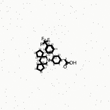 O=C(O)C[C@@H]1CC[C@@H](N2CC3(CCCC3)CC3(CCCC3)C2)[C@H](c2ccc(C(F)(F)F)cc2)C1